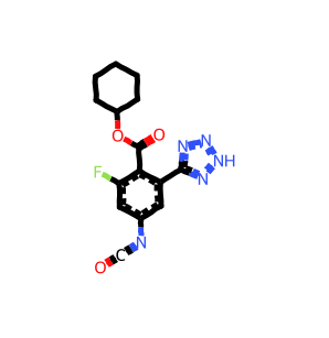 O=C=Nc1cc(F)c(C(=O)OC2CCCCC2)c(-c2nn[nH]n2)c1